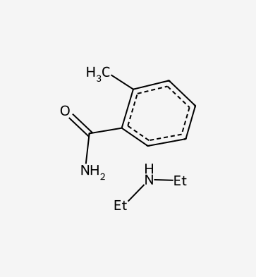 CCNCC.Cc1ccccc1C(N)=O